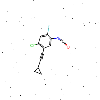 O=C=Nc1cc(C#CC2CC2)c(Cl)cc1F